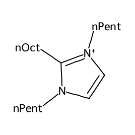 CCCCCCCCc1n(CCCCC)cc[n+]1CCCCC